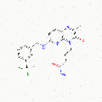 Cc1nc2ccc(NCc3cccc(C(F)(F)F)c3)nc2n(CCCC(N)=O)c1=O